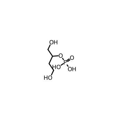 O=P(O)(O)OC(CO)CCO